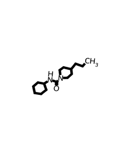 CCCC1CCN(C(=O)NC2CCCCC2)CC1